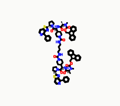 C[C@@H](C(=O)N[C@H](C(=O)N1CCC[C@H]1c1nc2c(-c3ccccc3)nccc2s1)C1CCN(C(=O)NCCCCNC(=O)N2CCC([C@H](NC(=O)[C@H](C)N(C)C(=O)OCC3c4ccccc4-c4ccccc43)C(=O)N3CCC[C@H]3c3nc4c(-c5ccccc5)nccc4s3)CC2)CC1)N(C)C(=O)OCC1c2ccccc2-c2ccccc21